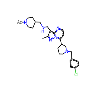 CC(=O)N1CCC(CNCc2c(C)nn3c([C@@H]4CCCN(Cc5ccc(Cl)cc5)C4)ccnc23)CC1